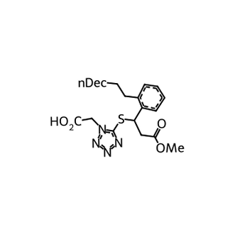 CCCCCCCCCCCCc1ccccc1C(CC(=O)OC)Sc1nnnn1CC(=O)O